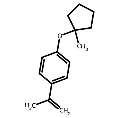 C=C(C)c1ccc(OC2(C)CCCC2)cc1